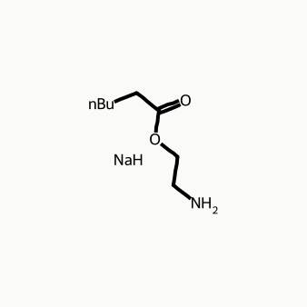 CCCCCC(=O)OCCN.[NaH]